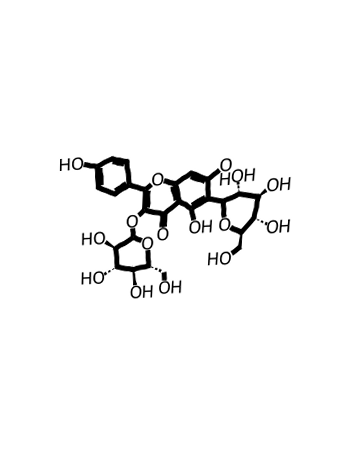 O=c1c(OC2O[C@H](CO)[C@@H](O)[C@H](O)[C@H]2O)c(-c2ccc(O)cc2)oc2cc(O)c(C3O[C@H](CO)[C@@H](O)[C@H](O)[C@H]3O)c(O)c12